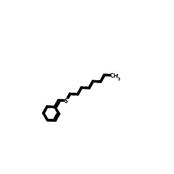 CCCCCCCCSC=C1C=CCCC1